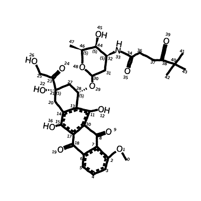 COc1cccc2c1C(=O)c1c(O)c3c(c(O)c1C2=O)C[C@@](O)(C(=O)CO)C[C@@H]3OC1C[C@H](NC(=O)CCC(=O)C(C)(C)C)[C@H](O)[C@H](C)O1